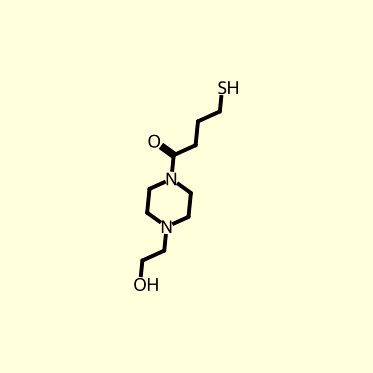 O=C(CCCS)N1CCN(CCO)CC1